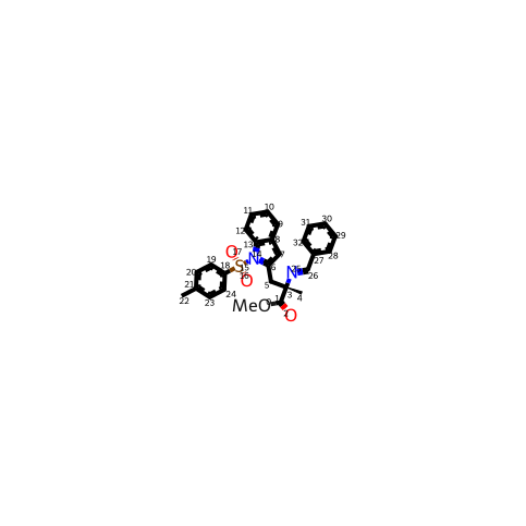 COC(=O)[C@](C)(Cc1cc2ccccc2n1S(=O)(=O)c1ccc(C)cc1)N=Cc1ccccc1